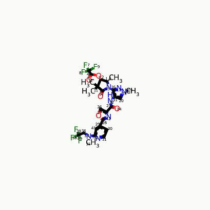 C[C@H]1C(OC(=O)C(F)(F)F)C(C)(C)C(=O)N1c1nn(C)cc1NC(=O)c1coc(-c2ccnc(N(C)CC(F)(F)F)c2)n1